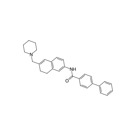 O=C(Nc1ccc2c(c1)CCC(CN1CCCCC1)=C2)c1ccc(-c2ccccc2)cc1